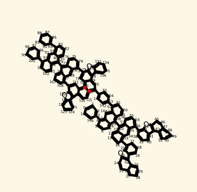 c1ccc(-c2cccc3c(-c4c5cccc(-c6cccc7c6oc6ccc8ccccc8c67)c5cc5c(-c6cccc7c6oc6ccc8ccccc8c67)cccc45)c4cccc(-c5ccc(-c6ccc7cc(-c8cccc9c(-c%10c%11cccc(-c%12ccccc%12)c%11cc%11c(-c%12ccccc%12)cccc%10%11)c%10cccc(-c%11cc%12ccccc%12c%12c%11oc%11ccccc%11%12)c%10cc89)c8oc9ccccc9c8c7c6)cc5)c4cc23)cc1